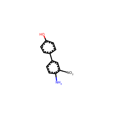 Nc1ccc(-c2ccc(O)cc2)cc1[N+](=O)[O-]